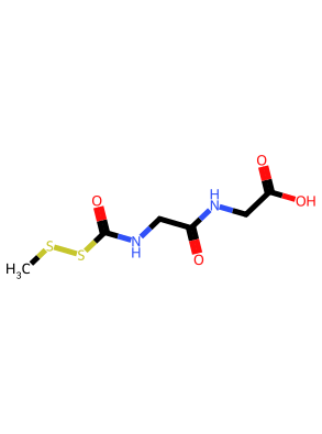 CSSC(=O)NCC(=O)NCC(=O)O